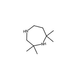 CC1(C)CCNCC(C)(C)N1